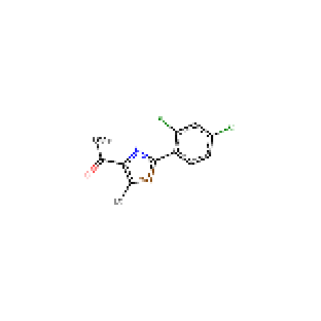 CCc1sc(-c2ccc(Cl)cc2F)nc1C(=O)OC